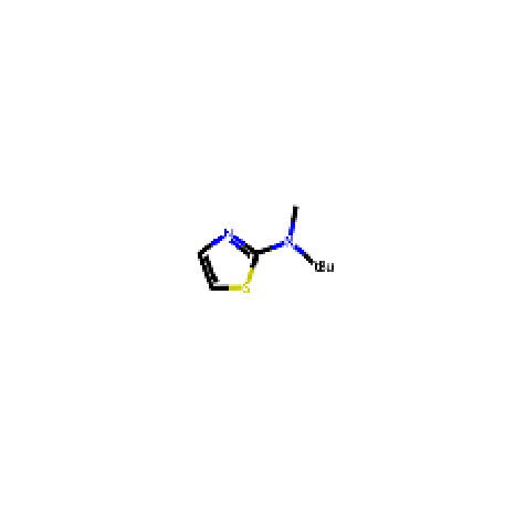 CN(c1nccs1)C(C)(C)C